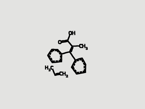 C=CC.CC(C(=O)O)=C(c1ccccc1)c1ccccc1